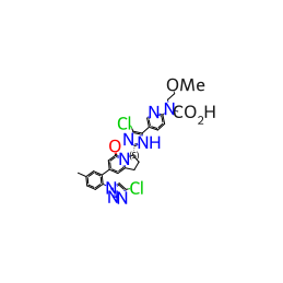 COCCN(C(=O)O)c1ccc(-c2[nH]c([C@@H]3CCc4cc(-c5cc(C)ccc5-n5cc(Cl)nn5)cc(=O)n43)nc2Cl)cn1